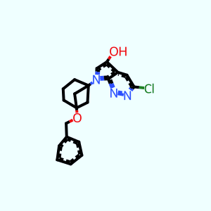 Oc1cn(C23CCCC(OCc4ccccc4)(C2)C3)c2nnc(Cl)cc12